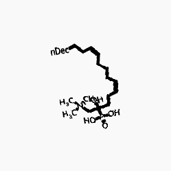 CCCCCCCCCCCC/C=C\CCC/C=C\CCC(O)(C[N+](C)(C)C)P(=O)(O)O